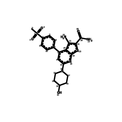 CS(=O)(=O)c1ccc(-c2cc(N3CCC(O)CC3)nc3sc(C(N)=O)c(N)c23)cc1